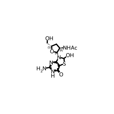 CC(=O)N[C@@H]1C[C@@H](CO)O[C@H]1N1c2nc(N)[nH]c(=O)c2SC1O